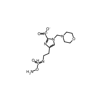 NO[SH](=O)=NCCc1cn(CN2CCOCC2)c([N+](=O)[O-])n1